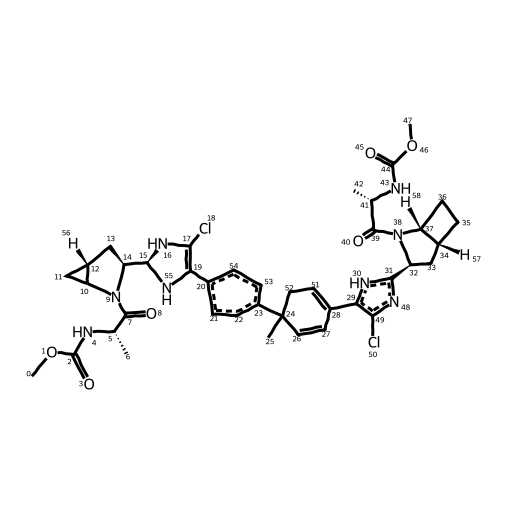 COC(=O)N[C@@H](C)C(=O)N1C2C[C@@H]2C[C@H]1[C@H]1NC(Cl)=C(c2ccc(C3(C)C=CC(c4[nH]c([C@@H]5C[C@H]6CC[C@H]6N5C(=O)[C@H](C)NC(=O)OC)nc4Cl)=CC3)cc2)N1